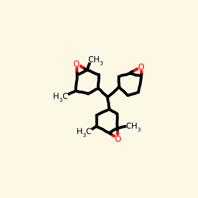 CC1CC(C(C2CCC3OC3C2)C2CC(C)C3OC3(C)C2)CC2(C)OC12